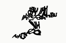 CCCCNC(=O)[C@@H](C[C@H](O)[C@H](C[C@H](CNC(=O)c1ccccc1CCN1CCN(C(C)=O)CC1)C(C)C)NC(=O)OC(C)(C)C)C(C)C